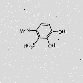 CNc1ccc(O)c(O)c1S(=O)(=O)O